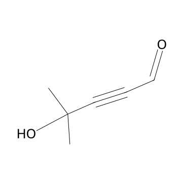 CC(C)(O)C#CC=O